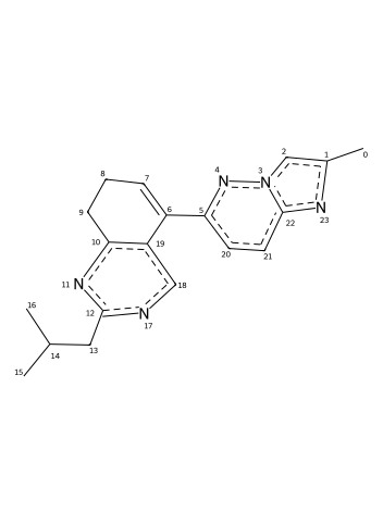 Cc1cn2nc(C3=CCCc4nc(CC(C)C)ncc43)ccc2n1